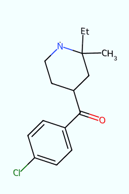 CCC1(C)CC(C(=O)c2ccc(Cl)cc2)CC[N]1